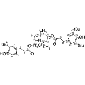 CC(C)(C)c1cc(CCC(=O)OCCN2C(C)(C)CC(OC(=O)CCc3cc(C(C)(C)C)c(O)c(C(C)(C)C)c3)CC2(C)C)ccc1O